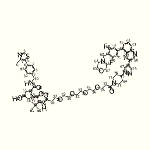 Cc1ncsc1-c1ccc(CNC(=O)[C@@H]2C[C@@H](O)CN2C(=O)[C@@H](NC(=O)CCOCCOCCOCCOCCC(=O)N2CCC(n3cc(-c4cnc5cccc(-c6cc(F)c(CN7CCOCC7)c(F)c6)c5n4)cn3)CC2)C(C)(C)C)cc1